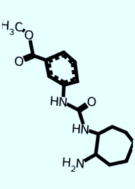 COC(=O)c1cccc(NC(=O)NC2CCCCCC2N)c1